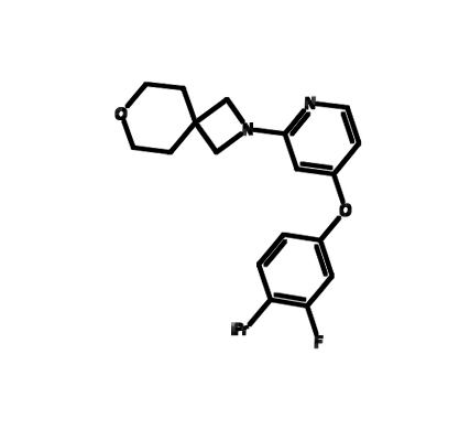 CC(C)c1ccc(Oc2ccnc(N3CC4(CCOCC4)C3)c2)cc1F